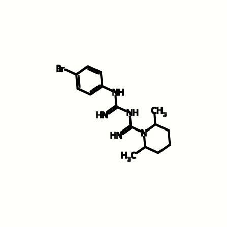 CC1CCCC(C)N1C(=N)NC(=N)Nc1ccc(Br)cc1